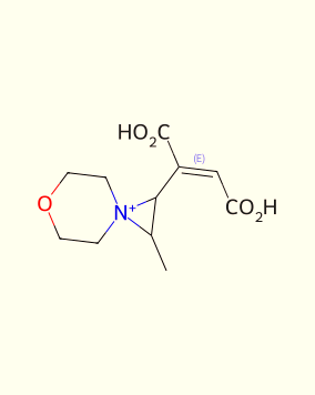 CC1C(/C(=C\C(=O)O)C(=O)O)[N+]12CCOCC2